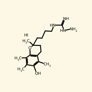 Cc1c(C)c2c(c(C)c1O)CCC(C)(CCCCNC(=N)NN)O2.I